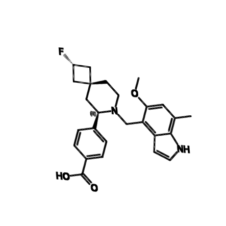 COc1cc(C)c2[nH]ccc2c1CN1CC[C@]2(C[C@@H]1c1ccc(C(=O)O)cc1)C[C@@H](F)C2